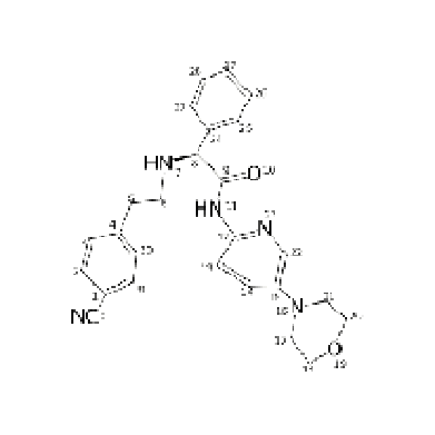 N#Cc1ccc(CCN[C@H](C(=O)Nc2ccc(N3CCOCC3)cn2)c2ccccc2)cc1